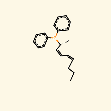 CCC/C=C\C=C/[C@@H](C)P(c1ccccc1)c1ccccc1